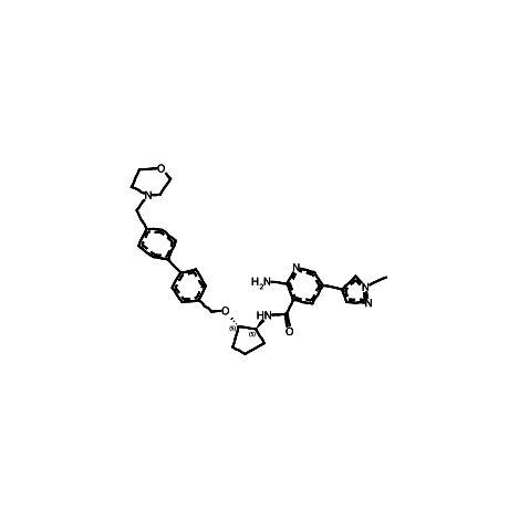 Cn1cc(-c2cnc(N)c(C(=O)N[C@H]3CCC[C@@H]3OCc3ccc(-c4ccc(CN5CCOCC5)cc4)cc3)c2)cn1